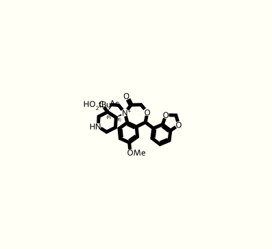 COc1ccc2c(c1)C(c1cccc3c1OCO3)OCC(=O)[N+]2(CC(C)(C)C)[C@@H]1CCNC[C@@]1(C(C)=O)C(=O)O